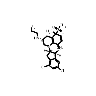 CC12C=CC(C)(S(C)(=O)=O)C3=C1N(C[C@H](NCCC(F)(F)F)C3)[C@H]1Cc3c(Cl)cc(Cl)cc3[C@@H]1O2